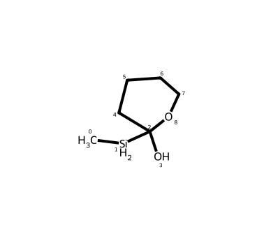 C[SiH2]C1(O)CCCCO1